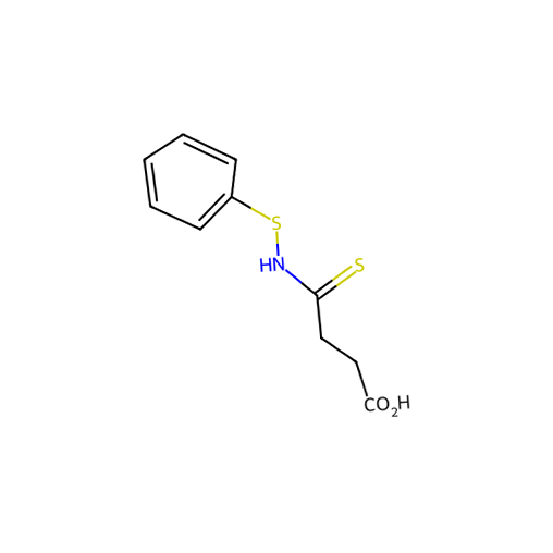 O=C(O)CCC(=S)NSc1ccccc1